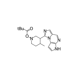 CC1CCN(OC(=O)C(C)(C)C)CC1c1ncc2cnc3[nH]ccc3n12